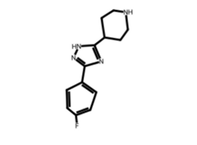 Fc1ccc(-c2n[nH]c(C3CCNCC3)n2)cc1